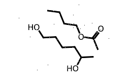 CC(O)CCCCO.CCCCOC(C)=O